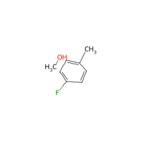 CO.Cc1ccc(F)cc1